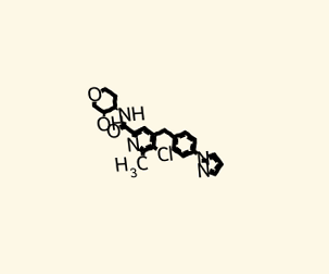 Cc1nc(C(=O)N[C@H]2CCOC[C@@H]2O)cc(Cc2ccc(-n3cccn3)cc2)c1Cl